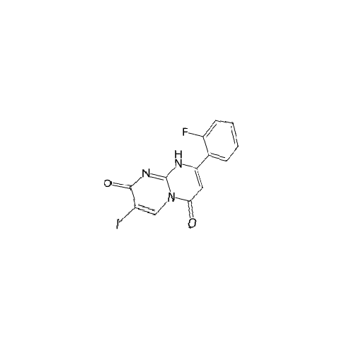 O=c1nc2[nH]c(-c3ccccc3F)cc(=O)n2cc1I